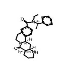 CCN(C(=O)c1ccc2c(c1)CCN1C(=O)[C@@H]3CCCN[C@@H]3C[C@H]21)[C@H](C)c1ccccc1